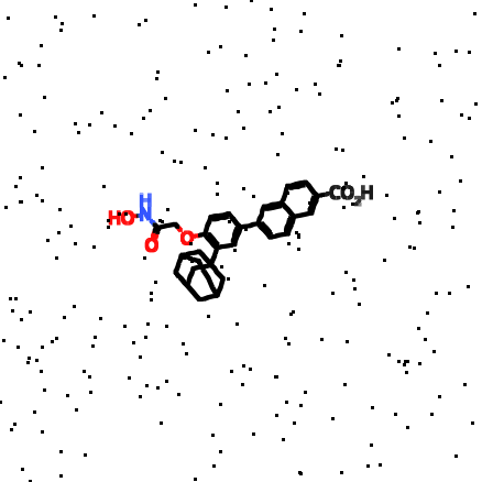 O=C(COc1ccc(-c2ccc3cc(C(=O)O)ccc3c2)cc1C12CC3CC(CC(C3)C1)C2)NO